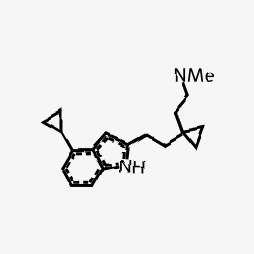 CNCCC1(CCc2cc3c(C4CC4)cccc3[nH]2)CC1